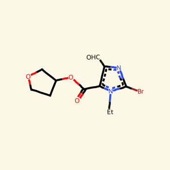 CCn1c(Br)nc(C=O)c1C(=O)OC1CCOC1